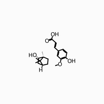 CC1(C)[C@@H]2CC[C@]1(C)[C@@H](O)C2.COc1cc(C=CC(=O)O)ccc1O